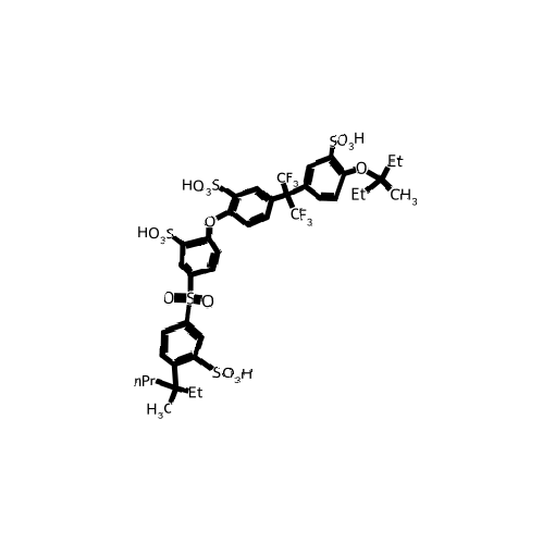 CCCC(C)(CC)c1ccc(S(=O)(=O)c2ccc(Oc3ccc(C(c4ccc(OC(C)(CC)CC)c(S(=O)(=O)O)c4)(C(F)(F)F)C(F)(F)F)cc3S(=O)(=O)O)c(S(=O)(=O)O)c2)cc1S(=O)(=O)O